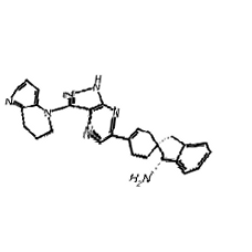 N[C@H]1c2ccccc2C[C@]12CC=C(c1cnc3c(N4CCCc5ncccc54)n[nH]c3n1)CC2